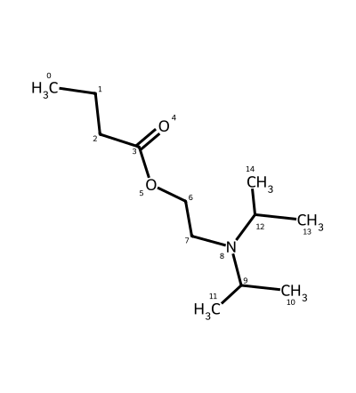 CCCC(=O)OCCN(C(C)C)C(C)C